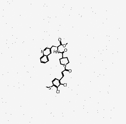 COC(=O)[C@H](Cc1cnc2ccccc2c1)NC(=O)C1CCN(C(=O)/C=C/c2ccc(SC)c(Cl)c2Cl)CC1